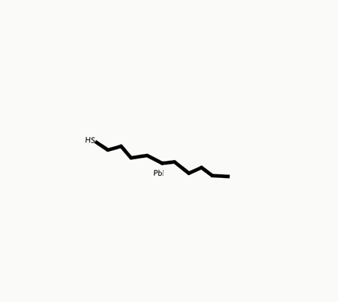 CCCCCCCCCCS.[Pb]